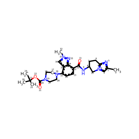 Cc1cn2c(n1)CCC(NC(=O)c1ccc(N3CCN(C(=O)OC(C)(C)C)CC3)c3cn(C)nc13)C2